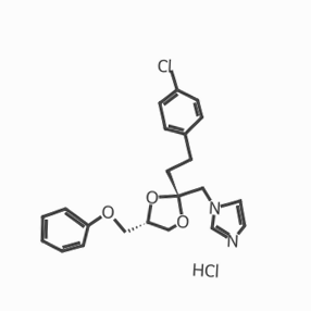 Cl.Clc1ccc(CC[C@@]2(Cn3ccnc3)OC[C@H](COc3ccccc3)O2)cc1